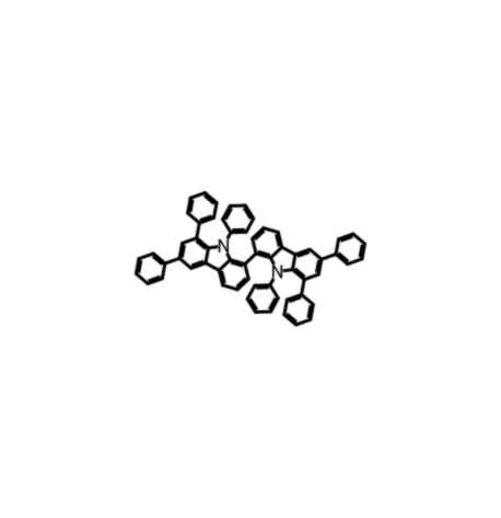 c1ccc(-c2cc(-c3ccccc3)c3c(c2)c2cccc(-c4cccc5c6cc(-c7ccccc7)cc(-c7ccccc7)c6n(-c6ccccc6)c45)c2n3-c2ccccc2)cc1